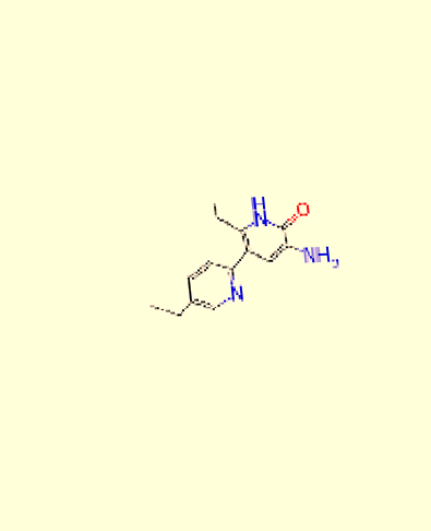 CCc1ccc(-c2cc(N)c(=O)[nH]c2CC)nc1